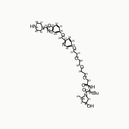 C[C@@H]1C[C@@H](O)CN1C(=O)[C@@H](NC(=O)COCCOCCOCCOc1ccc(COc2ccc3oc(N4CCNCC4)nc3c2)nc1)C(C)(C)C